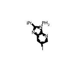 CC(C)c1nc2cc(I)cnc2n1P